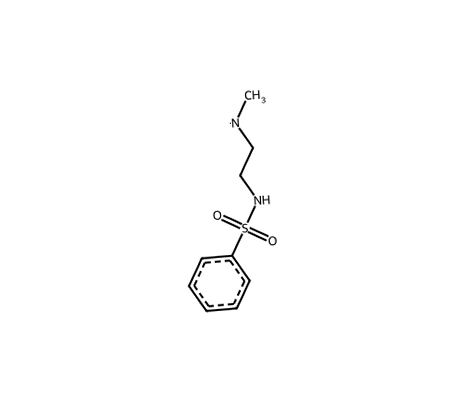 C[N]CCNS(=O)(=O)c1ccccc1